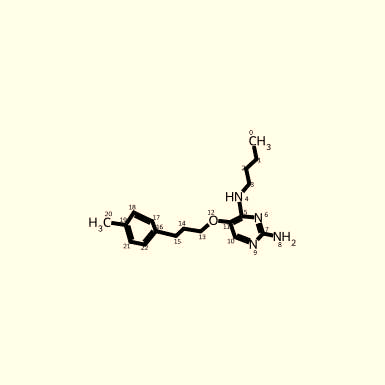 CCCCNc1nc(N)ncc1OCCCc1ccc(C)cc1